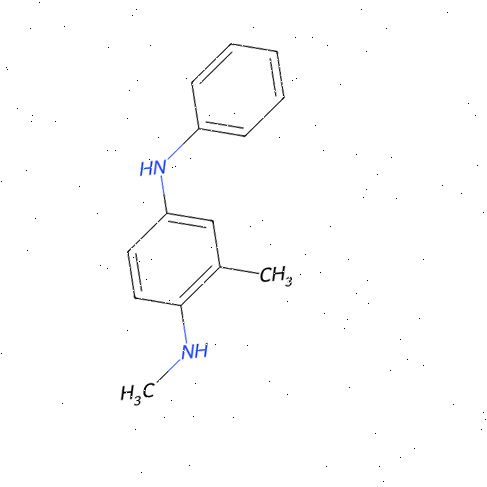 CNc1ccc(Nc2ccccc2)cc1C